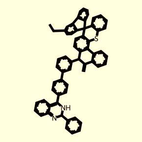 C=C1c2ccccc2-c2c(ccc3c2Sc2ccccc2C32c3ccccc3-c3cc(CC)ccc32)C1c1cccc(-c2ccc(C3=c4ccccc4=NC(c4ccccc4)N3)cc2)c1